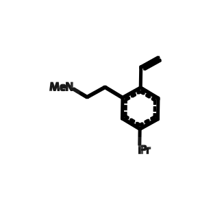 C=Cc1ccc(C(C)C)cc1CCNC